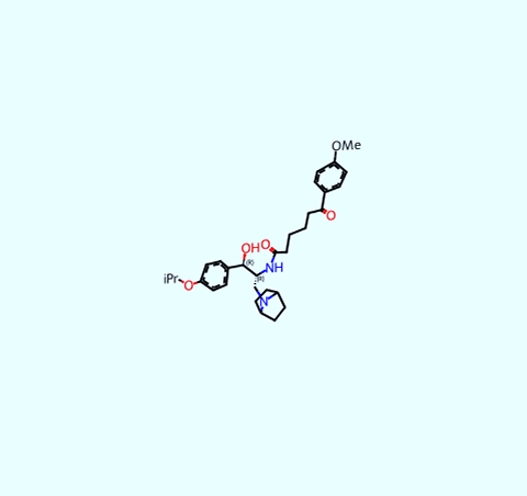 COc1ccc(C(=O)CCCCC(=O)N[C@H](CN2C3CCC2CC3)[C@H](O)c2ccc(OC(C)C)cc2)cc1